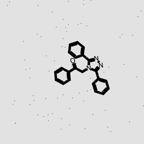 O=C(Cn1c(-c2ccccc2)nnc1-c1ccccc1)c1ccccc1